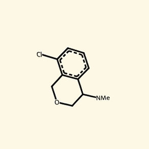 CNC1COCc2c(Cl)cccc21